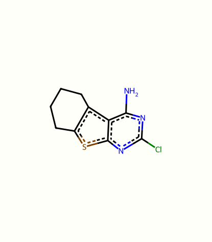 Nc1nc(Cl)nc2sc3c(c12)CCCC3